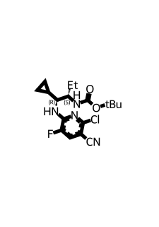 CC[C@H](NC(=O)OC(C)(C)C)[C@H](Nc1nc(Cl)c(C#N)cc1F)C1CC1